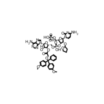 COc1ccc(C(OCC(=O)O[C@H]2[C@@H](O)[C@H](n3cnc4c(N)ncnc43)O[C@@H]2COP(=O)(O)O[C@H]2[C@@H](OC3CCCO3)[C@H](n3ccc(N)nc3=O)O[C@@H]2COP(=O)(O)O)(c2ccccc2)c2ccc(OC)cc2)cc1